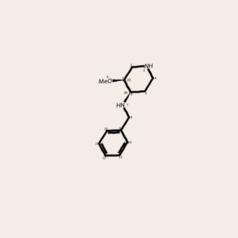 CO[C@H]1CNCC[C@H]1NCc1ccccc1